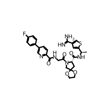 C[C@@H](NC(=O)[C@@H]1CC2(CN1C(=O)CNC(=O)c1ccc(-c3ccc(F)cc3)cn1)OCCO2)c1cc(C(=N)N)cs1